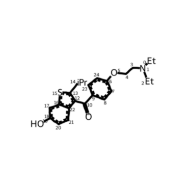 CCN(CC)CCOc1ccc(C(=O)c2c(C(C)C)sc3cc(O)ccc23)cc1